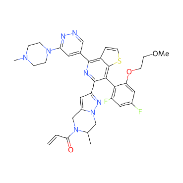 C=CC(=O)N1Cc2cc(-c3nc(-c4cnnc(N5CCN(C)CC5)c4)c4ccsc4c3-c3c(F)cc(F)cc3OCCOC)nn2CC1C